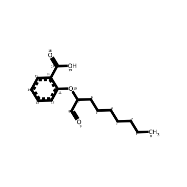 CCCCCCCC([C]=O)Oc1ccccc1C(=O)O